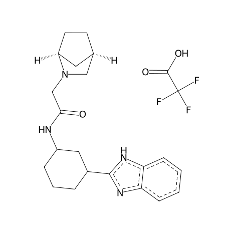 O=C(CN1C[C@@H]2CC[C@H]1C2)NC1CCCC(c2nc3ccccc3[nH]2)C1.O=C(O)C(F)(F)F